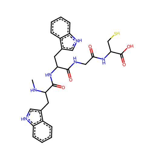 CNC(Cc1c[nH]c2ccccc12)C(=O)NC(Cc1c[nH]c2ccccc12)C(=O)NCC(=O)NC(CS)C(=O)O